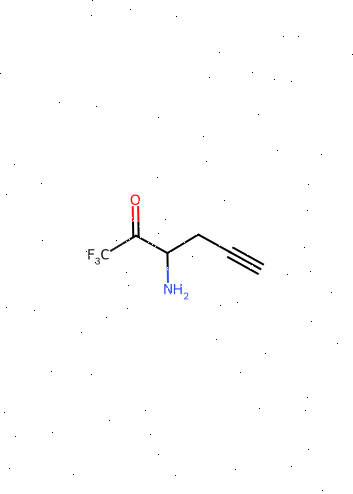 C#CCC(N)C(=O)C(F)(F)F